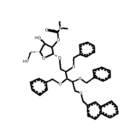 CN(C)C(=O)OC1C(O)[C@@H](CO)O[C@H]1OCC(OCc1ccccc1)C(OCc1ccccc1)C(COCc1ccc2ccccc2c1)OCc1ccccc1